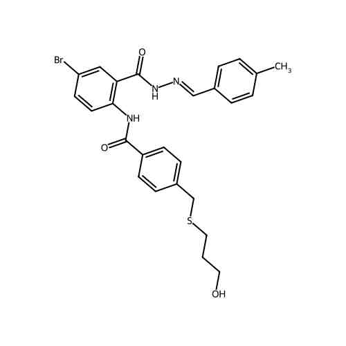 Cc1ccc(C=NNC(=O)c2cc(Br)ccc2NC(=O)c2ccc(CSCCCO)cc2)cc1